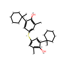 Cc1cc(Sc2cc(C)c(O)c(C3(C)CCCCC3)c2)cc(C2(C)CCCCC2)c1O